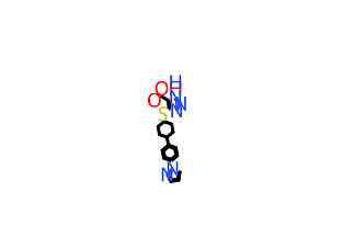 O=C(O)c1[nH]nnc1SC1CCC(c2ccc(-n3cccn3)cc2)CC1